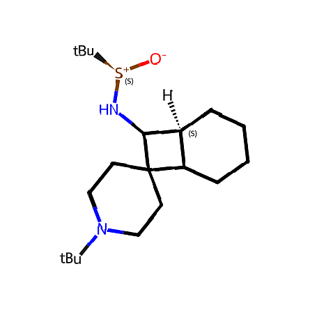 CC(C)(C)N1CCC2(CC1)C1CCCC[C@@H]1C2N[S@+]([O-])C(C)(C)C